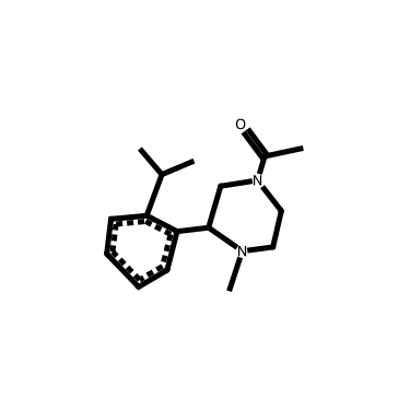 CC(=O)N1CCN(C)C(c2ccccc2C(C)C)C1